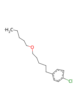 [CH2]CCCCOCCCCCc1ccc(Cl)cc1